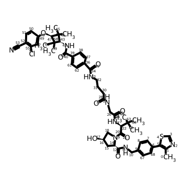 Cc1ncsc1-c1ccc(CNC(=O)[C@@H]2C[C@@H](O)CN2C(=O)[C@@H](NC(=O)CNC(=O)CCCNC(=O)c2ccc(C(=O)N[C@H]3C(C)(C)[C@H](Oc4ccc(C#N)c(Cl)c4)C3(C)C)cc2)C(C)(C)C)cc1